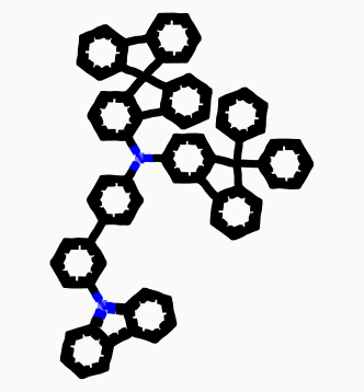 c1ccc(C2(c3ccccc3)c3ccccc3-c3cc(N(c4ccc(-c5cccc(-n6c7ccccc7c7ccccc76)c5)cc4)c4cccc5c4-c4ccccc4C54c5ccccc5-c5ccccc54)ccc32)cc1